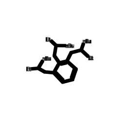 CCCCC(CC)Cc1cccc(CC(CC)CCCC)c1CC(CC)CCCC